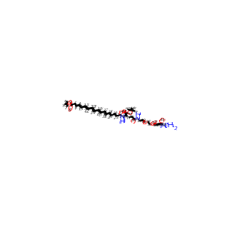 CC(C)(C)OC(=O)CCCCCCCCCCCCCCCCC(=O)N[C@@H](CCC(=O)NCCOCCOCC(N)=O)C(=O)OC(C)(C)C